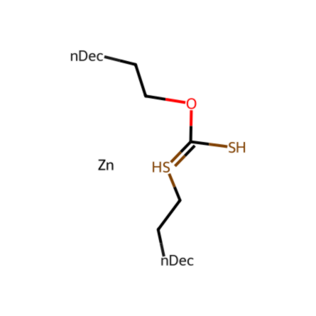 CCCCCCCCCCCCOC(S)=[SH]CCCCCCCCCCCC.[Zn]